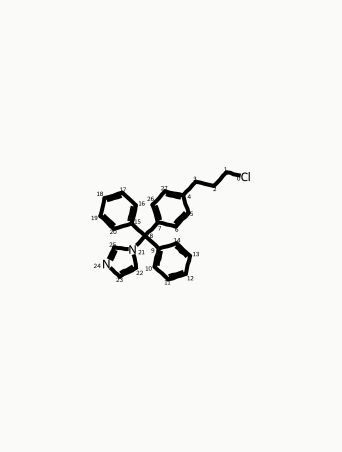 ClCCCc1ccc(C(c2ccccc2)(c2ccccc2)n2ccnc2)cc1